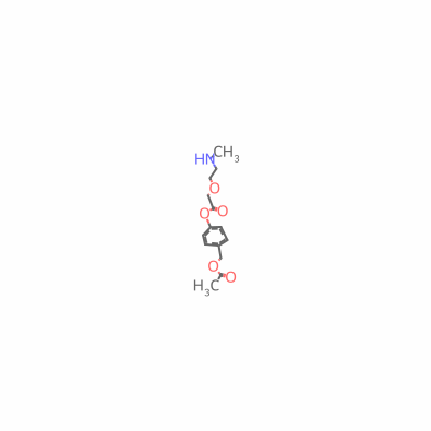 CNCCOCC(=O)Oc1ccc(COC(C)=O)cc1